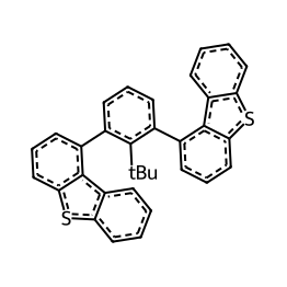 CC(C)(C)c1c(-c2cccc3sc4ccccc4c23)cccc1-c1cccc2sc3ccccc3c12